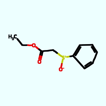 CCOC(=O)C[S+]([O-])c1ccccc1